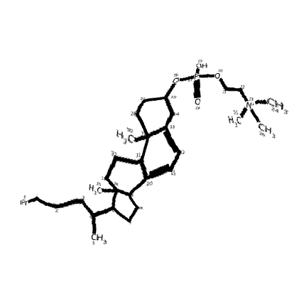 CC(C)CCCC(C)C1CCC2C3=CC=C4CC(OP(=O)(O)OCC[N+](C)(C)C)CCC4(C)C3CCC21C